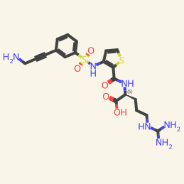 NCC#Cc1cccc(S(=O)(=O)Nc2ccsc2C(=O)N[C@@H](CCCNC(N)N)C(=O)O)c1